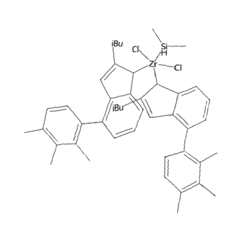 CCC(C)C1=Cc2c(-c3ccc(C)c(C)c3C)cccc2[CH]1[Zr]([Cl])([Cl])([CH]1C(C(C)CC)=Cc2c(-c3ccc(C)c(C)c3C)cccc21)[SiH](C)C